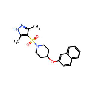 Cc1n[nH]c(C)c1S(=O)(=O)N1CCC(Oc2ccc3ccccc3c2)CC1